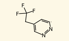 FC(F)(F)Cc1c[c]nnc1